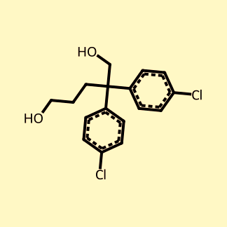 OCCCC(CO)(c1ccc(Cl)cc1)c1ccc(Cl)cc1